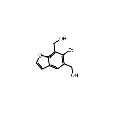 CCc1c(CO)cc2ccoc2c1CO